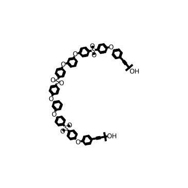 CC(C)(O)C#Cc1ccc(Oc2ccc(S(=O)(=O)c3ccc(Oc4cccc(Oc5ccc(S(=O)(=O)c6ccc(Oc7cccc(Oc8ccc(S(=O)(=O)c9ccc(Oc%10ccc(C#CC(C)(C)O)cc%10)cc9)cc8)c7)cc6)cc5)c4)cc3)cc2)cc1